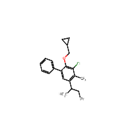 CC(C)CC(C(=O)O)c1cc(-c2ccccc2)c(OCC2CC2)c(Cl)c1C(F)(F)F